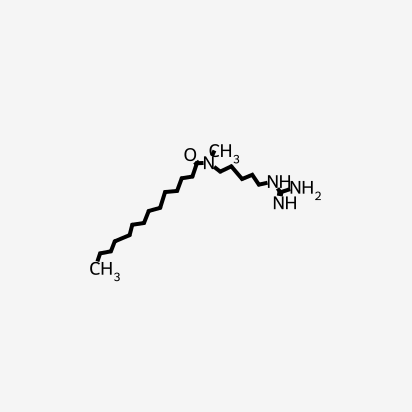 CCCCCCCCCCCCCC(=O)N(C)CCCCCNC(=N)N